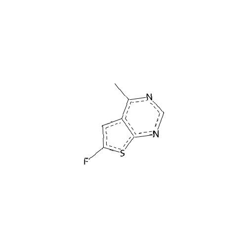 Cc1ncnc2sc(F)cc12